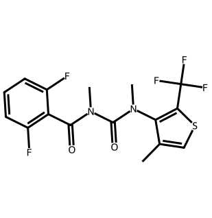 Cc1csc(C(F)(F)F)c1N(C)C(=O)N(C)C(=O)c1c(F)cccc1F